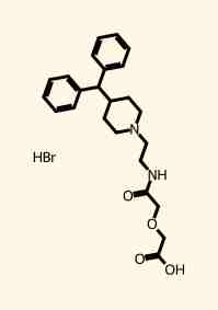 Br.O=C(O)COCC(=O)NCCN1CCC(C(c2ccccc2)c2ccccc2)CC1